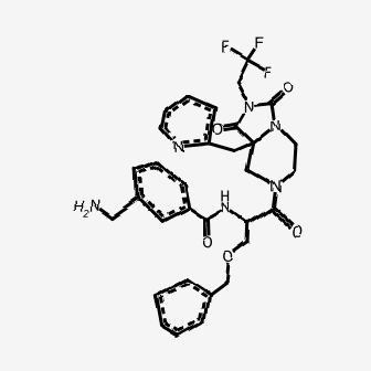 NCc1cccc(C(=O)NC(COCc2ccccc2)C(=O)N2CCN3C(=O)N(CC(F)(F)F)C(=O)C3(Cc3ccccn3)C2)c1